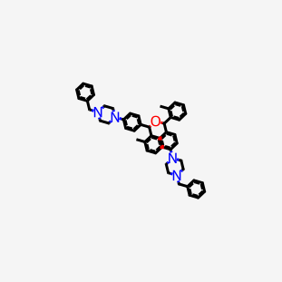 Cc1ccccc1C(OC(c1ccc(N2CCN(Cc3ccccc3)CC2)cc1)c1ccccc1C)c1ccc(N2CCN(Cc3ccccc3)CC2)cc1